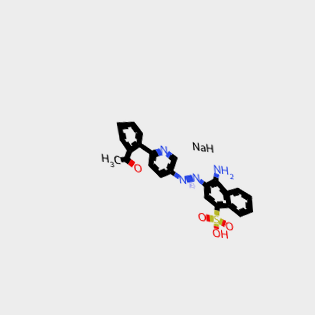 CC(=O)c1ccccc1-c1ccc(/N=N/c2cc(S(=O)(=O)O)c3ccccc3c2N)cn1.[NaH]